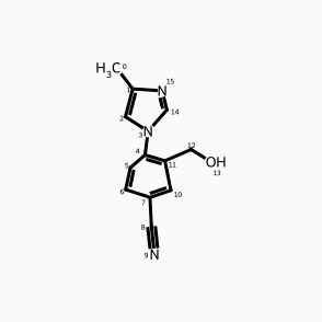 Cc1cn(-c2ccc(C#N)cc2CO)cn1